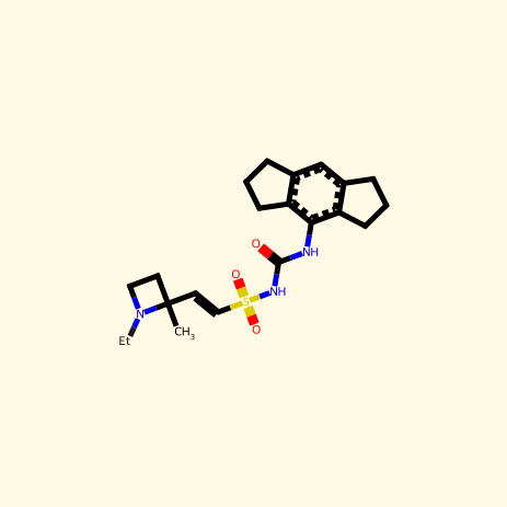 [CH2]CN1CCC1(C)C=CS(=O)(=O)NC(=O)Nc1c2c(cc3c1CCC3)CCC2